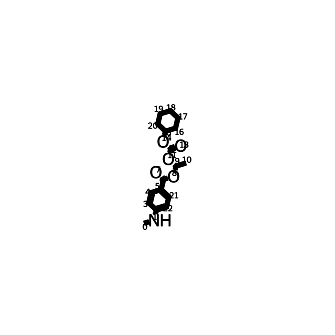 CNc1ccc(C(=O)OC(C)OC(=O)OC2CCCCC2)cc1